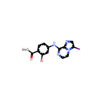 COC(=O)c1ccc(Nc2nccn3c(I)cnc23)cc1Br